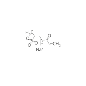 C=CC(=O)NCC(C)S(=O)(=O)[O-].[Na+]